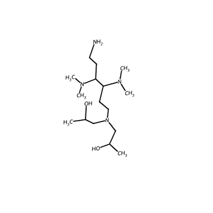 CC(O)CN(CCC(C(CCN)N(C)C)N(C)C)CC(C)O